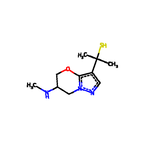 CNC1COc2c(C(C)(C)S)cnn2C1